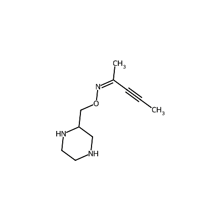 CC#C/C(C)=N\OCC1CNCCN1